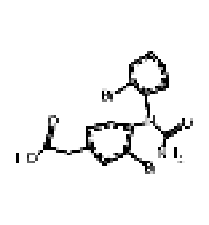 NC(=O)N(c1ccccc1Br)c1ccc(CC(=O)O)cc1Br